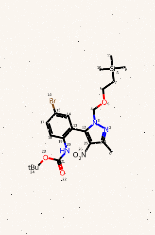 Cc1nn(COCC[Si](C)(C)C)c(-c2cc(Br)ccc2NC(=O)OC(C)(C)C)c1[N+](=O)[O-]